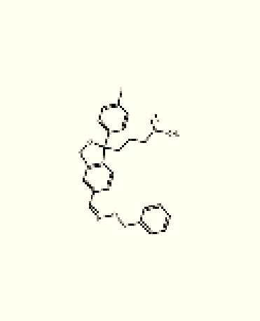 CN(C)CCCC1(c2ccc(F)cc2)OCc2cc(/C=N\OCc3ccccc3)ccc21